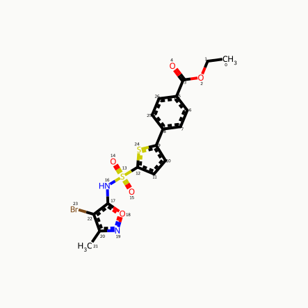 CCOC(=O)c1ccc(-c2ccc(S(=O)(=O)Nc3onc(C)c3Br)s2)cc1